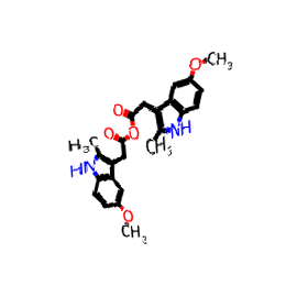 COc1ccc2[nH]c(C)c(CC(=O)OC(=O)Cc3c(C)[nH]c4ccc(OC)cc34)c2c1